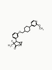 COc1cc(C2CCC(COc3cccc(C(C4CC4)C(C)(F)C(=O)O)c3)CC2)ccn1